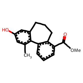 COC(=O)c1cccc2c1CCCc1cc(O)cc(C)c1-2